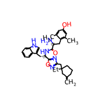 C=C1CCCC(CC)(Cc2noc([C@H](Cc3c[nH]c4ccccc34)NC(=O)[C@@H](N)Cc3c(C)cc(O)cc3C)n2)C1